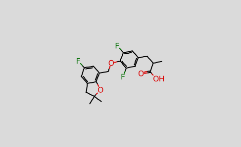 CC(Cc1cc(F)c(OCc2cc(F)cc3c2OC(C)(C)C3)c(F)c1)C(=O)O